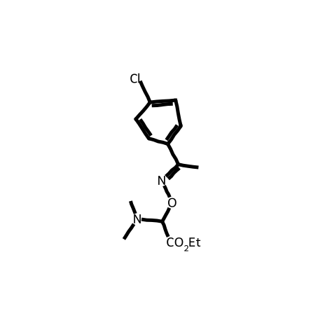 CCOC(=O)C(O/N=C(\C)c1ccc(Cl)cc1)N(C)C